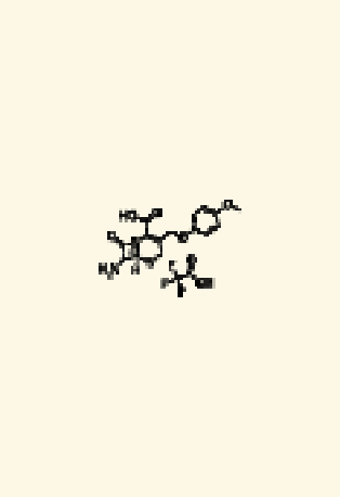 COc1ccc(OCC2=C(C(=O)O)N3C(=O)C(N)[C@@H]3SC2)cc1.O=C(O)C(F)(F)F